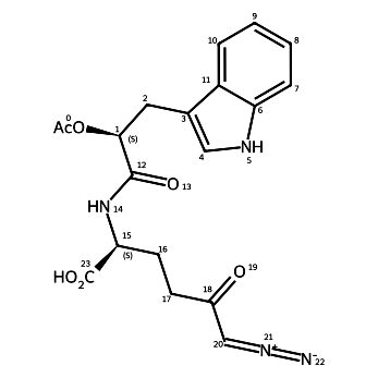 CC(=O)O[C@@H](Cc1c[nH]c2ccccc12)C(=O)N[C@@H](CCC(=O)C=[N+]=[N-])C(=O)O